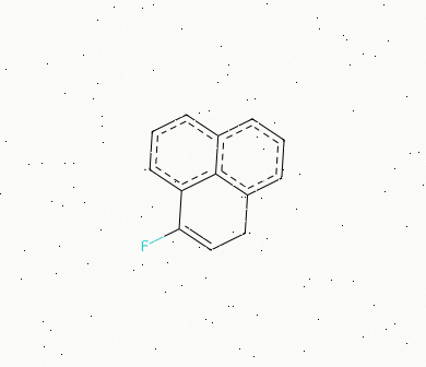 FC1=C[CH]c2cccc3cc[c]c1c23